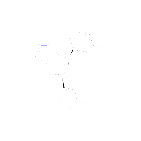 Fc1ccc(Cl)c(F)c1[C@H]1C[C@@H](c2cccc(Br)c2)Nc2nnnn21